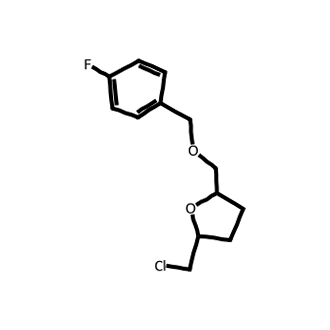 Fc1ccc(COCC2CCC(CCl)O2)cc1